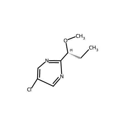 CC[C@@H](OC)c1ncc(Cl)cn1